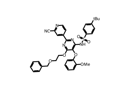 COc1ccccc1Oc1c(NS(=O)(=O)c2ccc(C(C)(C)C)cc2)nc(-c2ccnc(C#N)c2)nc1OCCOCc1ccccc1